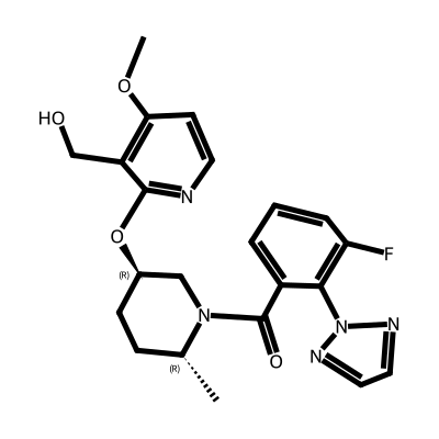 COc1ccnc(O[C@@H]2CC[C@@H](C)N(C(=O)c3cccc(F)c3-n3nccn3)C2)c1CO